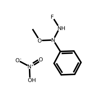 CON(NF)c1ccccc1.O=[N+]([O-])O